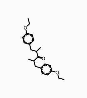 CCOc1ccc(CC(C)C(=O)C(C)Cc2ccc(OCC)cc2)cc1